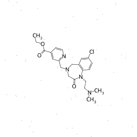 CCOC(=O)c1ccnc(CN2CC(=O)N(CCN(C)C)c3ccc(Cl)cc3C2)c1